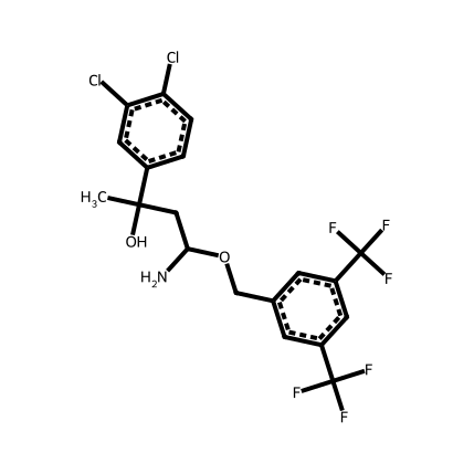 CC(O)(CC(N)OCc1cc(C(F)(F)F)cc(C(F)(F)F)c1)c1ccc(Cl)c(Cl)c1